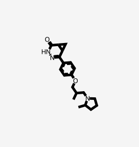 CC(COc1ccc(C2=NNC(=O)C3CC23)cc1)CN1CCCC1C